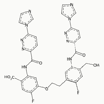 O=C(Nc1cc(CCOc2cc(NC(=O)c3ccc(-n4ccnc4)nn3)c(C(=O)O)cc2F)c(F)cc1CO)c1ccc(-n2ccnc2)nn1